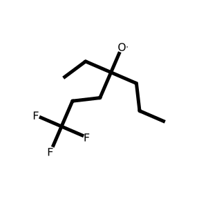 CCCC([O])(CC)CCC(F)(F)F